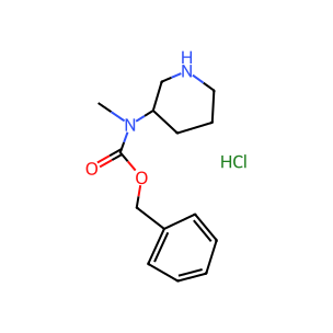 CN(C(=O)OCc1ccccc1)C1CCCNC1.Cl